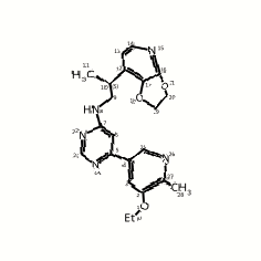 CCOc1cc(-c2cc(NC[C@@H](C)c3ccnc4c3OCCO4)ncn2)cnc1C